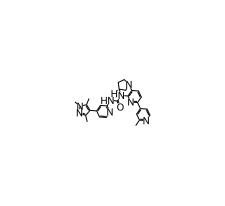 Cc1cc(-c2ccc3c(n2)N(C(=O)Nc2cc(-c4c(C)nn(C)c4C)ccn2)[C@H]2CCN3C2)ccn1